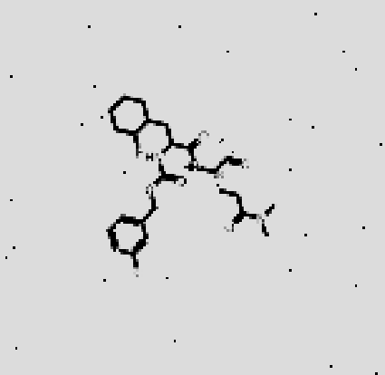 CN(C)C(=O)CC[C@@H](C=O)NC(=O)C(CC1CCCCC1F)NC(=O)OCc1cccc(Cl)c1